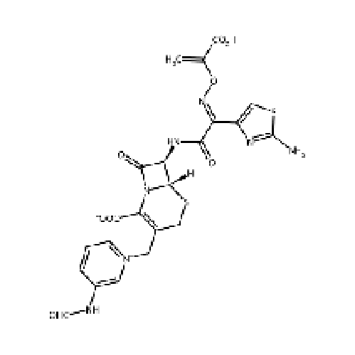 C=C(ON=C(C(=O)N[C@@H]1C(=O)N2C(C(=O)[O-])=C(C[n+]3cccc(NC=O)c3)CS[C@@H]12)c1csc(N)n1)C(=O)O